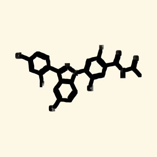 CC(=O)NC(=O)c1cc(Cl)c(-n2nc(-c3ccc(Cl)cc3F)c3cc(Cl)ccc32)cc1F